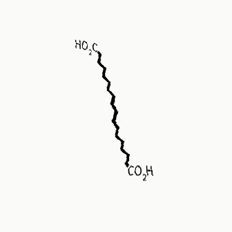 O=C(O)CCCCCCC=CC=CCCCCCCC(=O)O